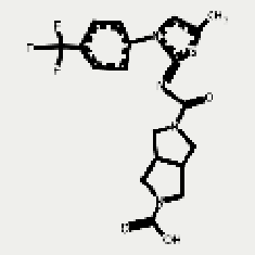 Cc1cn(-c2ccc(C(F)(F)F)cc2)c(=NC(=O)N2CC3CN(C(=O)O)CC3C2)s1